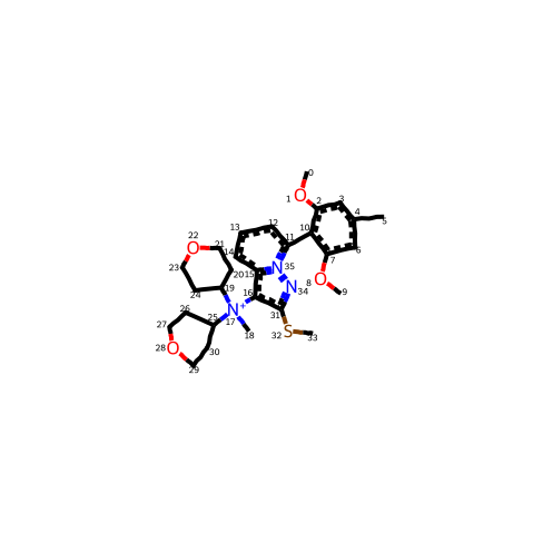 COc1cc(C)cc(OC)c1-c1cccc2c([N+](C)(C3CCOCC3)C3CCOCC3)c(SC)nn12